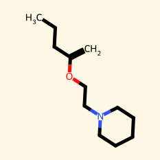 C=C(CCC)OCCN1CCCCC1